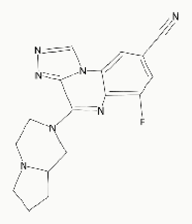 N#Cc1cc(F)c2nc(N3CCN4CCCC4C3)c3nncn3c2c1